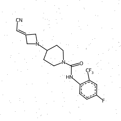 N#CC=C1CN(C2CCN(C(=O)Nc3ccc(F)cc3C(F)(F)F)CC2)C1